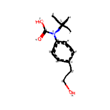 CC(C)(C)N(C(=O)O)c1ccc(CCO)cc1